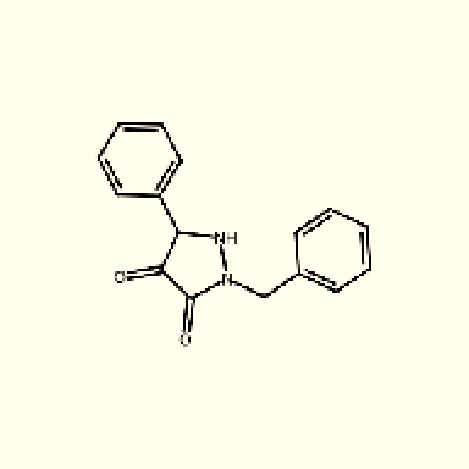 O=C1C(=O)N(Cc2ccccc2)NC1c1ccccc1